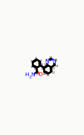 NC(=O)c1ccccc1-c1cccc2cncnc12